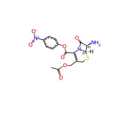 CC(=O)OCC1=C(C(=O)Oc2ccc([N+](=O)[O-])cc2)N2C(=O)[C@@H](N)[C@H]2SC1